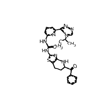 CC(C)n1cnnc1-c1cccc(NC(=O)Nc2nc3c(s2)CCC(C(=O)c2ccccc2)N3)n1